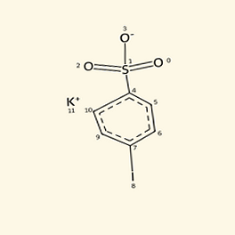 O=S(=O)([O-])c1ccc(I)cc1.[K+]